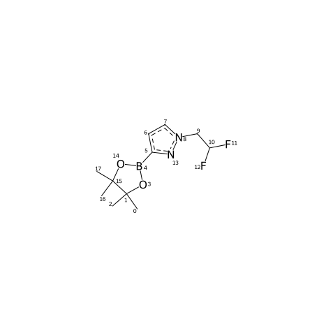 CC1(C)OB(c2ccn(CC(F)F)n2)OC1(C)C